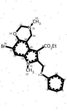 CCOC(=O)c1c(CSc2ccccc2)n(C)c2cc(Br)c3c(c12)CN(C)CO3